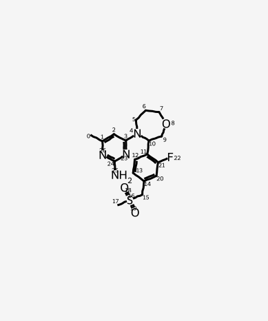 Cc1cc(N2CCCOCC2c2ccc(CS(C)(=O)=O)cc2F)nc(N)n1